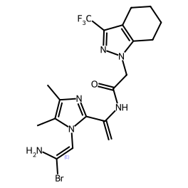 C=C(NC(=O)Cn1nc(C(F)(F)F)c2c1CCCC2)c1nc(C)c(C)n1/C=C(\N)Br